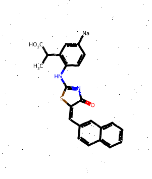 CC(C(=O)O)c1c[c]([Na])ccc1NC1=NC(=O)C(=Cc2ccc3ccccc3c2)S1